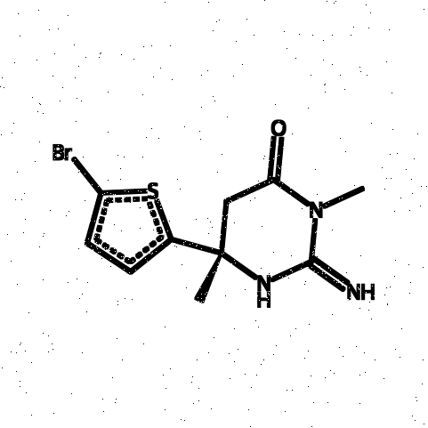 CN1C(=N)N[C@](C)(c2ccc(Br)s2)CC1=O